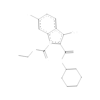 CCOC(=O)n1c(C(=O)OC2CCCCC2)c(N)c2ccc(Cl)cc21